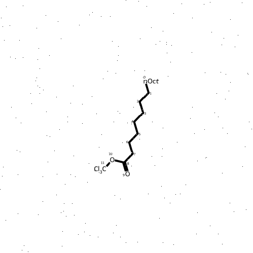 CCCCCCCCCCCCCCCC(=O)OC(Cl)(Cl)Cl